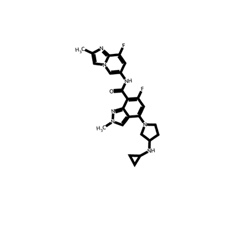 Cc1cn2cc(NC(=O)c3c(F)cc(N4CCC(NC5CC5)C4)c4cn(C)nc34)cc(F)c2n1